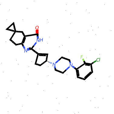 O=c1[nH]c(C2=C[C@H](N3CCN(c4cccc(Cl)c4F)CC3)CC2)nc2c1CC1(CC2)CC1